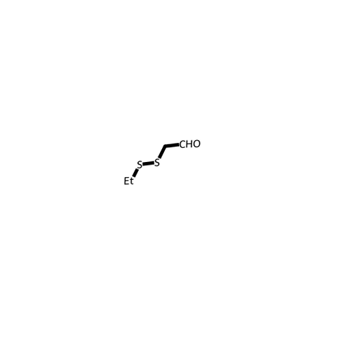 CCSSCC=O